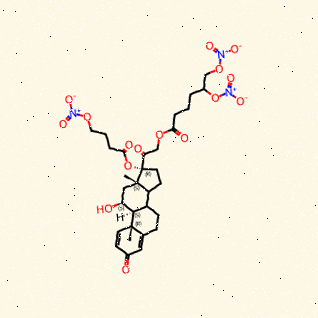 C[C@]12C=CC(=O)C=C1CCC1C3CC[C@](OC(=O)CCCO[N+](=O)[O-])(C(=O)COC(=O)CCCC(CO[N+](=O)[O-])O[N+](=O)[O-])[C@@]3(C)C[C@H](O)[C@@H]12